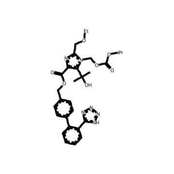 CCOCc1nc(C(=O)OCc2ccc(-c3ccccc3-c3nnn[nH]3)cc2)c(C(C)(C)O)n1COC(=O)OC(C)C